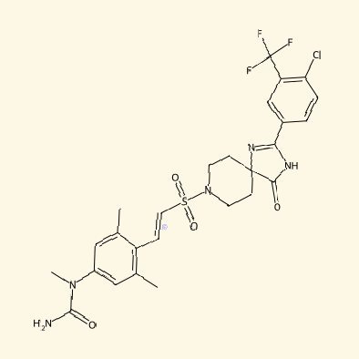 Cc1cc(N(C)C(N)=O)cc(C)c1/C=C/S(=O)(=O)N1CCC2(CC1)N=C(c1ccc(Cl)c(C(F)(F)F)c1)NC2=O